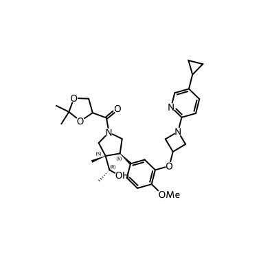 COc1ccc([C@@H]2CN(C(=O)C3COC(C)(C)O3)C[C@@]2(C)[C@@H](C)O)cc1OC1CN(c2ccc(C3CC3)cn2)C1